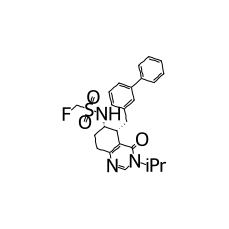 CC(C)n1cnc2c(c1=O)[C@@H](Cc1cccc(-c3ccccc3)c1)[C@@H](NS(=O)(=O)CF)CC2